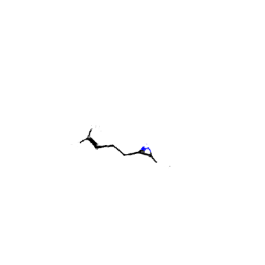 CCOC(=O)C1N=C1CCC=C(C)C